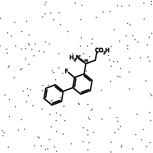 N[C@@H](CC(=O)O)c1cccc(-c2ccccc2)c1F